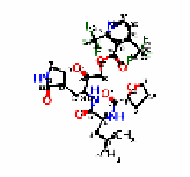 CC(C)C[C@H](NC(=O)[C@H]1CCCO1)C(=O)N[C@@H](C[C@@H]1CCNC1=O)C(=O)COC(=O)c1c(C(F)(F)F)ccnc1C(F)(F)F